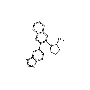 C[C@H]1CCCN1c1cc2ccccc2nc1-c1ccc2scnc2c1